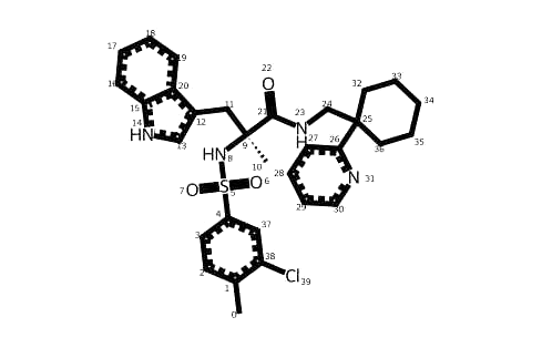 Cc1ccc(S(=O)(=O)N[C@@](C)(Cc2c[nH]c3ccccc23)C(=O)NCC2(c3ccccn3)CCCCC2)cc1Cl